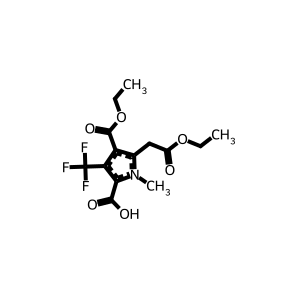 CCOC(=O)Cc1c(C(=O)OCC)c(C(F)(F)F)c(C(=O)O)n1C